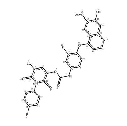 CCn1cc(OC(=O)Nc2ccc(Oc3ccnc4cc(O)c(OC)cc34)c(F)c2)c(=O)n(-c2ccc(F)cc2)c1=O